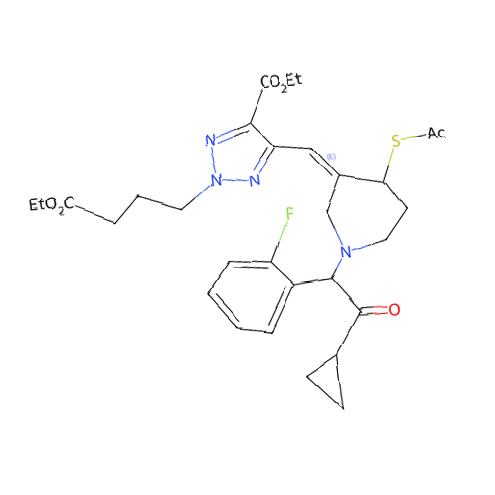 CCOC(=O)CCCn1nc(/C=C2\CN(C(C(=O)C3CC3)c3ccccc3F)CCC2SC(C)=O)c(C(=O)OCC)n1